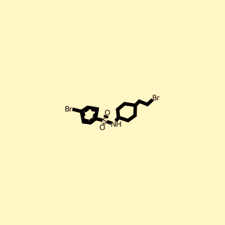 O=S(=O)(NC1CCC(CCBr)CC1)c1ccc(Br)cc1